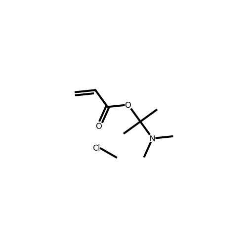 C=CC(=O)OC(C)(C)N(C)C.CCl